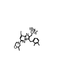 Cc1cccc(Cc2c(CO[Si](C)(C)C(C)(C)C)nc3c(I)cc(N4CCOC(C)C4)nn23)c1C